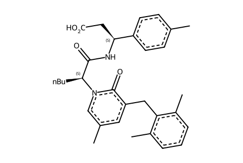 CCCC[C@@H](C(=O)N[C@@H](CC(=O)O)c1ccc(C)cc1)n1cc(C)cc(Cc2c(C)cccc2C)c1=O